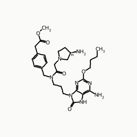 CCCCOc1nc(N)c2[nH]c(=O)n(CCCN(Cc3ccc(CC(=O)OC)cc3)C(=O)CN3CC[C@@H](N)C3)c2n1